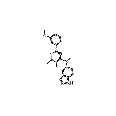 COc1cccc(-c2nc(C)c(C)c(N(C)c3ccc4[nH]ncc4c3)n2)c1